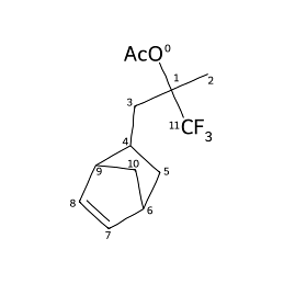 CC(=O)OC(C)(CC1CC2C=CC1C2)C(F)(F)F